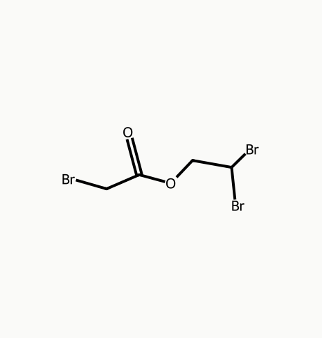 O=C(CBr)OCC(Br)Br